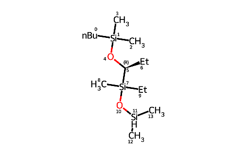 CCCC[Si](C)(C)O[C@@H](CC)[Si](C)(CC)O[SiH](C)C